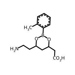 Cc1ccccc1B1OC(CCN)CC(CC(=O)O)O1